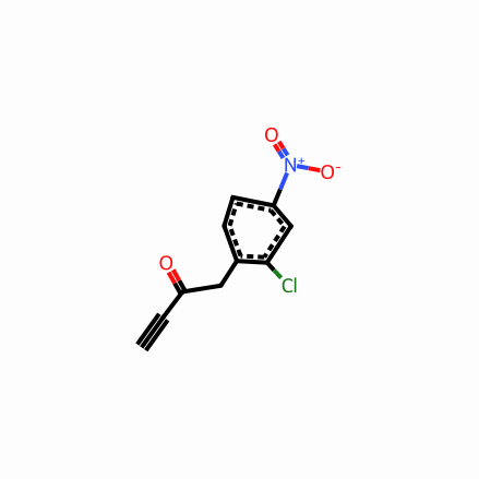 C#CC(=O)Cc1ccc([N+](=O)[O-])cc1Cl